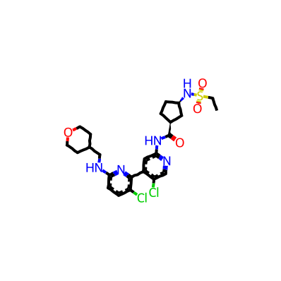 CCS(=O)(=O)N[C@@H]1CC[C@H](C(=O)Nc2cc(-c3nc(NCC4CCOCC4)ccc3Cl)c(Cl)cn2)C1